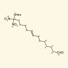 CCCCCCC(CCCCC=CCCCCCCC=O)([N+](=O)[O-])[N+](=O)[O-]